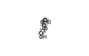 Oc1ccc2cc3c(cc2c1)oc1cc2c(cc13)oc1cccc(Cl)c12